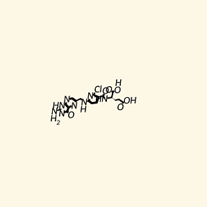 Nc1nc(=O)c2nc(CNc3ccc(C(=O)N[C@@H](CCC(=O)O)C(=O)O)c(Cl)n3)cnc2[nH]1